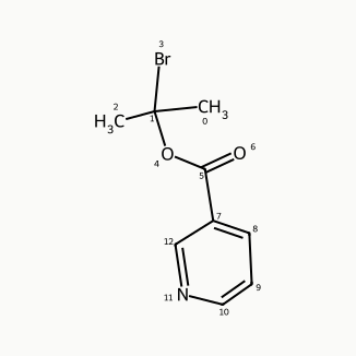 CC(C)(Br)OC(=O)c1cccnc1